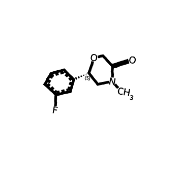 CN1C[C@H](c2cccc(F)c2)OCC1=O